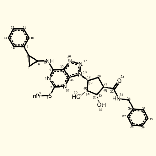 CCCSc1nc(NC2CC2c2ccccc2)c2nnn([C@H]3C[C@@H](C(=O)NCc4ccccc4)[C@H](O)[C@@H]3O)c2n1